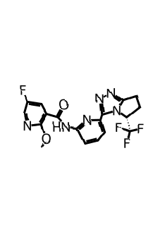 COc1ncc(F)cc1C(=O)Nc1cccc(-c2nnc3n2[C@@H](C(F)(F)F)CC3)n1